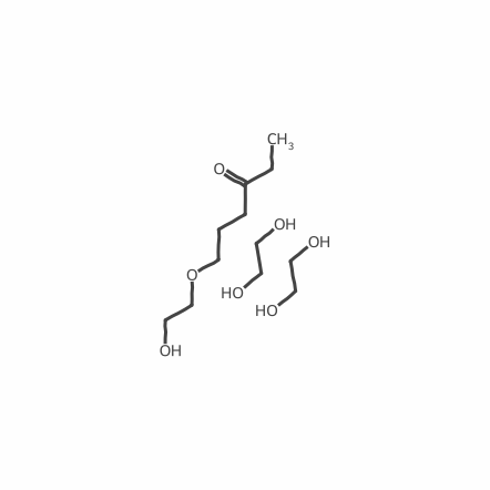 CCC(=O)CCCOCCO.OCCO.OCCO